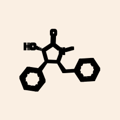 CN1C(=O)[C@@H](O)[C@H](c2ccccc2)[C@@H]1Cc1ccccc1